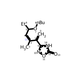 C=C(/C(C)=C\C(CC)OCCCC)c1noc(=O)[nH]1